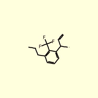 [CH2]C(C=C)c1cccc(CCC)c1C(F)(F)F